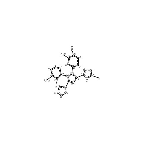 Cc1nnc(-c2nc(-c3ccsc3)n(-c3cccc(Cl)c3F)c2-c2ccc(F)c(Cl)c2)o1